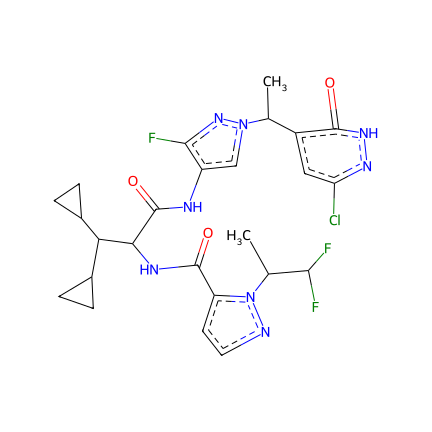 CC(c1cc(Cl)n[nH]c1=O)n1cc(NC(=O)C(NC(=O)c2ccnn2C(C)C(F)F)C(C2CC2)C2CC2)c(F)n1